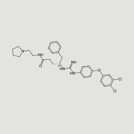 N=C(Nc1ccc(Oc2ccc(Cl)c(Cl)c2)cc1)N[C@H](CCC(=O)NCCN1CCCC1)Cc1ccccc1